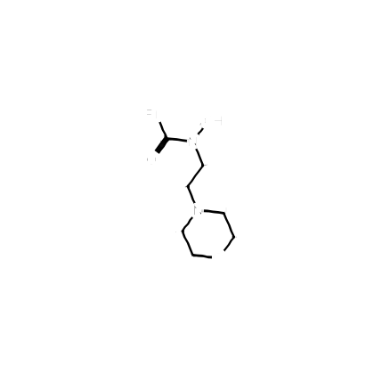 CCC(=O)N(C)CCN1CCOCC1